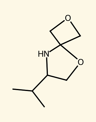 CC(C)C1COC2(COC2)N1